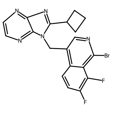 Fc1ccc2c(Cn3c(C4CCC4)nc4nccnc43)cnc(Br)c2c1F